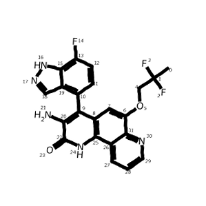 CC(F)(F)COc1cc2c(-c3ccc(F)c4[nH]ncc34)c(N)c(=O)[nH]c2c2cccnc12